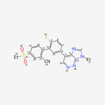 CCn1cnc2c(-c3ccc(F)c(-c4ccc(S(=O)(=O)CC)cc4C#N)c3)cnnc21